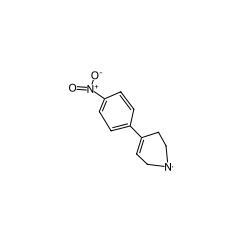 O=[N+]([O-])c1ccc(C2=CC[N]CC2)cc1